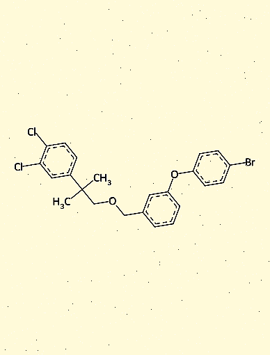 CC(C)(COCc1cccc(Oc2ccc(Br)cc2)c1)c1ccc(Cl)c(Cl)c1